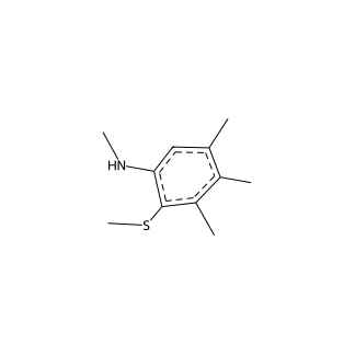 CNc1cc(C)c(C)c(C)c1SC